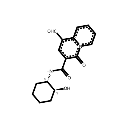 O=Cc1cc(C(=O)N[C@H]2CCCC[C@@H]2O)c(=O)n2ccccc12